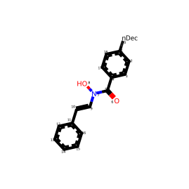 CCCCCCCCCCc1ccc(C(=O)N(O)C=Cc2ccccc2)cc1